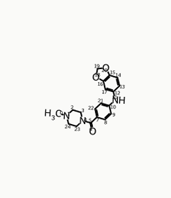 CN1CCN(C(=O)c2ccc(Nc3ccc4c(c3)OCO4)cc2)CC1